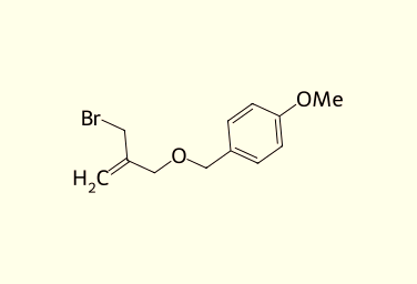 C=C(CBr)COCc1ccc(OC)cc1